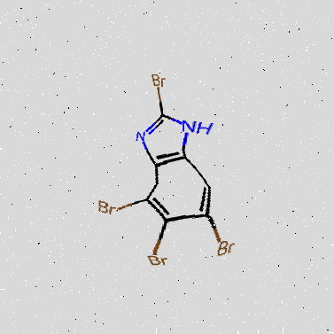 Brc1nc2c(Br)c(Br)c(Br)cc2[nH]1